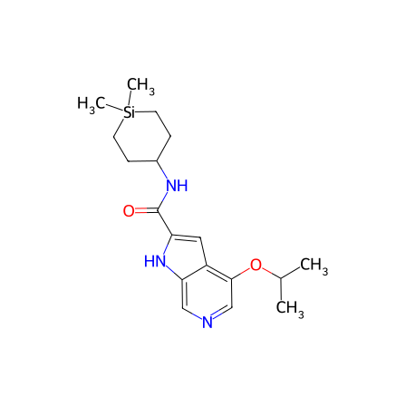 CC(C)Oc1cncc2[nH]c(C(=O)NC3CC[Si](C)(C)CC3)cc12